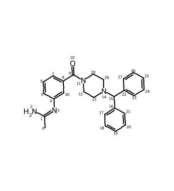 C/C(N)=N/c1cccc(C(=O)N2CCN(C(c3ccccc3)c3ccccc3)CC2)c1